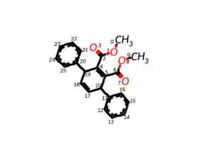 COC(=O)C1=C(C(=O)OC)C(c2ccccc2)C=CC1c1ccccc1